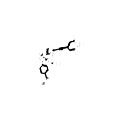 COC(=O)c1ccc(NS(=O)(=O)c2csc(C#Cc3cc(C)[nH]c(=O)c3)n2)c(OC)c1